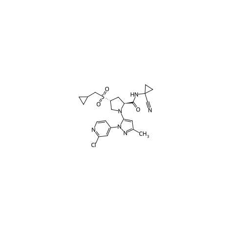 Cc1cc(N2C[C@H](S(=O)(=O)CC3CC3)C[C@H]2C(=O)NC2(C#N)CC2)n(-c2ccnc(Cl)c2)n1